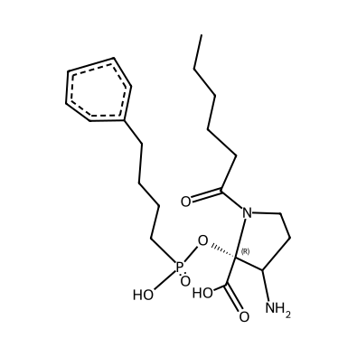 CCCCCC(=O)N1CCC(N)[C@@]1(OP(=O)(O)CCCCc1ccccc1)C(=O)O